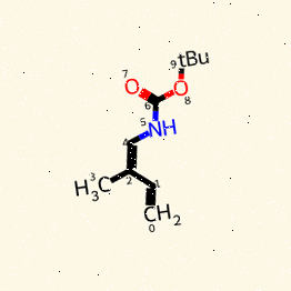 C=CC(C)=CNC(=O)OC(C)(C)C